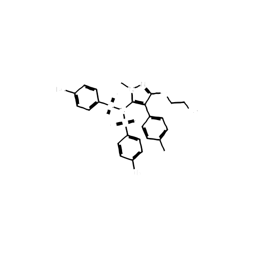 CC(=O)OCCOc1nn(C)c(N(S(=O)(=O)c2ccc(C(C)(C)C)cc2)S(=O)(=O)c2ccc(C(C)(C)C)cc2)c1-c1ccc(C)cc1